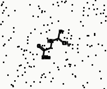 CSC(=O)CNC(C)C(C)C